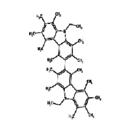 CCn1c2c(C)c(C)c(C)c(C)c2c2c(C)c(-c3c(C)c(C)c4c(c3C)c3c(C)c(C)c(C)c(C)c3n4CC)c(C)c(C)c21